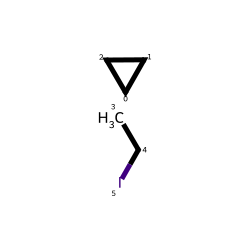 C1CC1.CCI